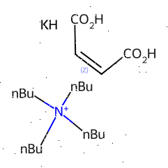 CCCC[N+](CCCC)(CCCC)CCCC.O=C(O)/C=C\C(=O)O.[KH]